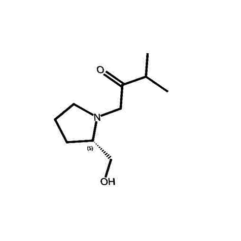 CC(C)C(=O)CN1CCC[C@H]1CO